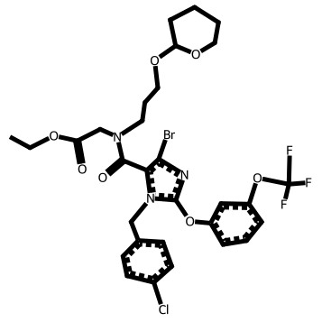 CCOC(=O)CN(CCCOC1CCCCO1)C(=O)c1c(Br)nc(Oc2cccc(OC(F)(F)F)c2)n1Cc1ccc(Cl)cc1